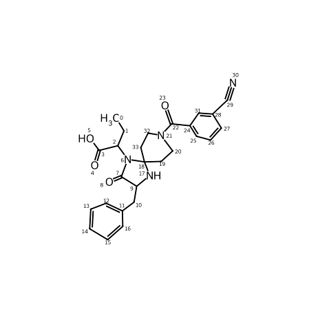 CCC(C(=O)O)N1C(=O)C(Cc2ccccc2)NC12CCN(C(=O)c1cccc(C#N)c1)CC2